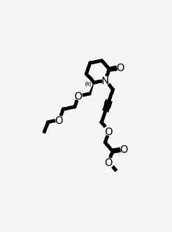 CCOCCOC[C@H]1CCCC(=O)N1CC#CCOCC(=O)OC